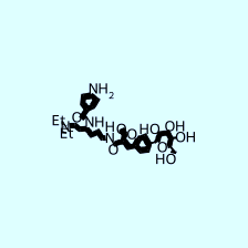 CCN(CC)CCC(CCCNC(=O)c1cc2ccc([C@@H]3O[C@H](CO)[C@H](O)[C@H](O)[C@H]3O)cc2oc1=O)NC(=O)c1ccc(N)cc1